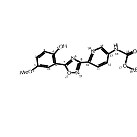 COc1ccc(O)c(-c2nc(-c3ccc(NC(=O)OC(C)(C)C)cn3)no2)c1